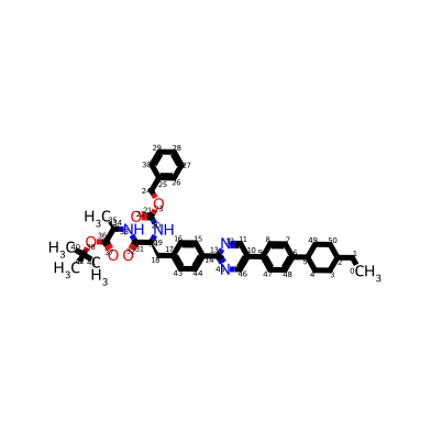 CCC1CCC(c2ccc(-c3cnc(-c4ccc(C[C@H](NC(=O)OCc5ccccc5)C(=O)N[C@H](C)C(=O)OC(C)(C)C)cc4)nc3)cc2)CC1